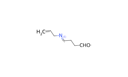 C=CC/N=[C]/CC[C]=O